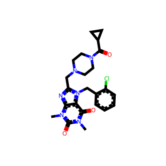 Cn1c(=O)c2c(nc(CN3CCN(C(=O)C4CC4)CC3)n2Cc2ccccc2Cl)n(C)c1=O